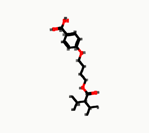 CC(C)C(C(=O)OCCCCOc1ccc(C(=O)O)cc1)C(C)C